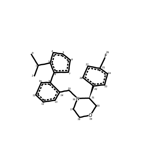 CC(C)c1ccccc1-c1ccccc1CN1CCOC[C@@H]1c1ccc(F)cc1